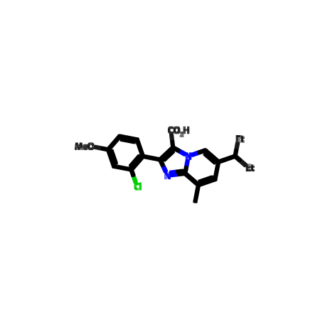 CCC(CC)c1cc(C)c2nc(-c3ccc(OC)cc3Cl)c(C(=O)O)n2c1